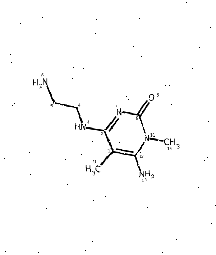 Cc1c(NCCN)nc(=O)n(C)c1N